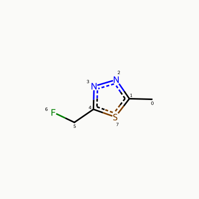 Cc1nnc(CF)s1